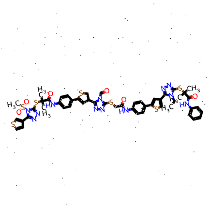 CCn1c(SC(C)(C)C(=O)Nc2ccccc2)nnc1-c1csc(-c2ccc(NC(=O)CSc3nnc(C4C=C(c5ccc(NC(=O)C(C)(C)Sc6nnc(-c7ccsc7)n6S(C)(=O)=O)cc5)SC4)n3C=O)cc2)c1